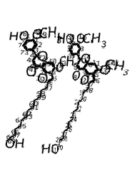 COc1cc(-c2cc(=O)c3c(cc(OC)c4cc(CCCCCCCCCCCCCO)oc43)o2)ccc1O.COc1cc(-c2cc(=O)c3c(cc(OC)c4cc(CCCCCCCCCCCCO)oc43)o2)ccc1O